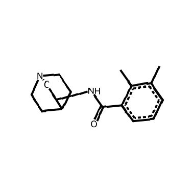 Cc1cccc(C(=O)NC2CN3CCC2CC3)c1C